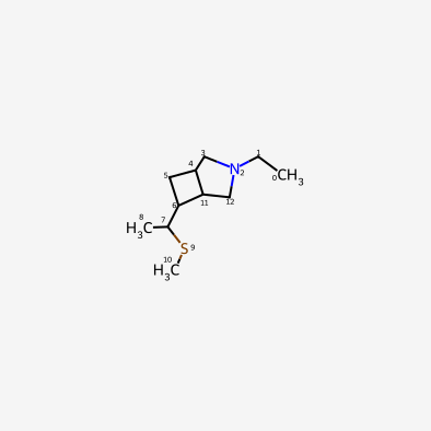 CCN1CC2CC(C(C)SC)C2C1